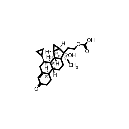 CC[C@]12CC[C@H]3[C@H]([C@@H]1[C@H]1C[C@H]1[C@@]2(O)CCOC(=O)O)[C@H](C1CC1)CC1=CC(=O)CC[C@@H]13